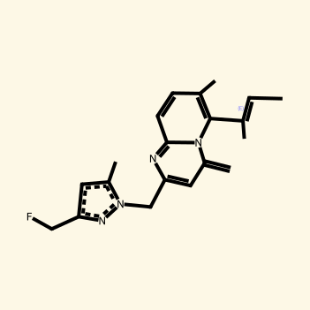 C=C1C=C(Cn2nc(CF)cc2C)N=C2C=CC(C)=C(/C(C)=C/C)N12